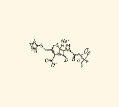 Cn1nnnc1SCC1=C(C(=O)[O-])N2C(=O)C(NC(=O)CS(=O)(=O)C(F)(F)CF)[C@H]2SC1.[Na+]